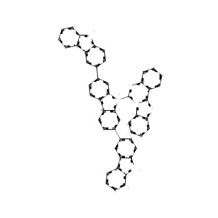 c1ccc2c(c1)nc(-n1c3cc(-c4ccc5oc6ccccc6c5c4)ccc3c3ccc(-c4ccc5oc6ccccc6c5c4)cc31)n1c3ccccc3nc21